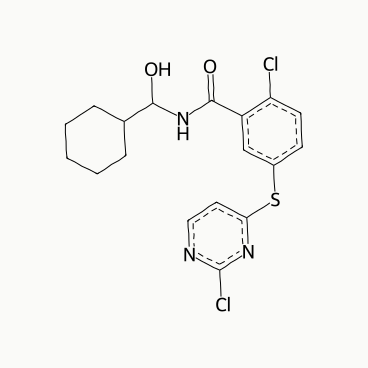 O=C(NC(O)C1CCCCC1)c1cc(Sc2ccnc(Cl)n2)ccc1Cl